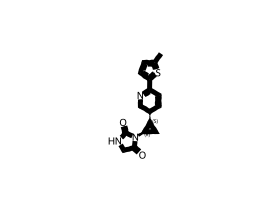 Cc1ccc(C2=NCC([C@@H]3C[C@H]3N3C(=O)CNC3=O)C=C2)s1